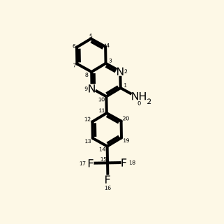 Nc1nc2[c]cccc2nc1-c1ccc(C(F)(F)F)cc1